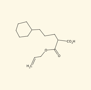 C=CCOC(=O)C(CCCC1CCCCC1)C(=O)O